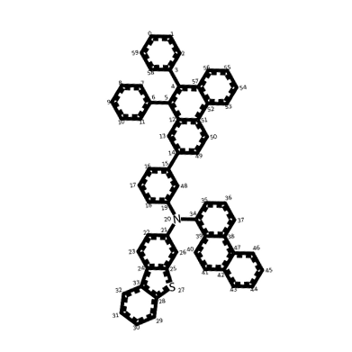 c1ccc(-c2c(-c3ccccc3)c3cc(-c4cccc(N(c5ccc6c(c5)sc5ccccc56)c5cccc6c5ccc5ccccc56)c4)ccc3c3ccccc23)cc1